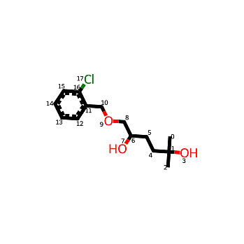 CC(C)(O)CCC(O)COCc1ccccc1Cl